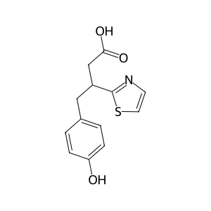 O=C(O)CC(Cc1ccc(O)cc1)c1nccs1